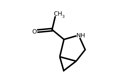 CC(=O)C1NCC2CC21